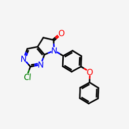 O=C1Cc2cnc(Cl)nc2N1c1ccc(Oc2ccccc2)cc1